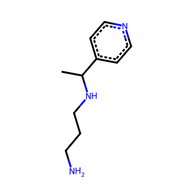 CC(NCCCN)c1ccncc1